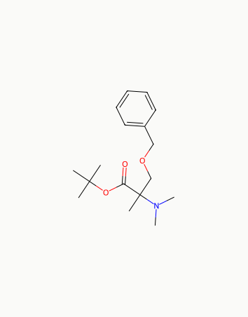 CN(C)C(C)(COCc1ccccc1)C(=O)OC(C)(C)C